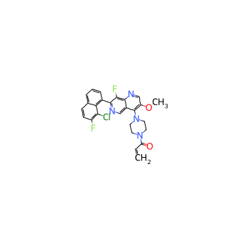 C=CC(=O)N1CCN(c2c(OC)cnc3c(F)c(-c4cccc5ccc(F)c(Cl)c45)ncc23)CC1